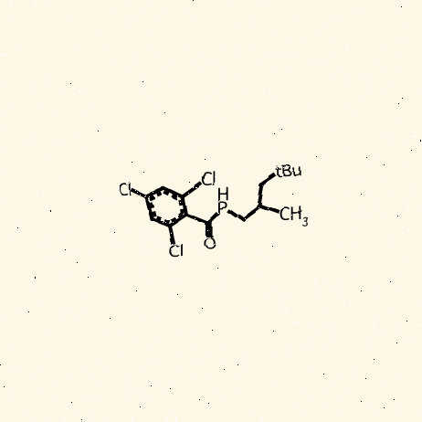 CC(CPC(=O)c1c(Cl)cc(Cl)cc1Cl)CC(C)(C)C